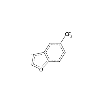 FC(F)(F)c1ccc2oc[c]c2c1